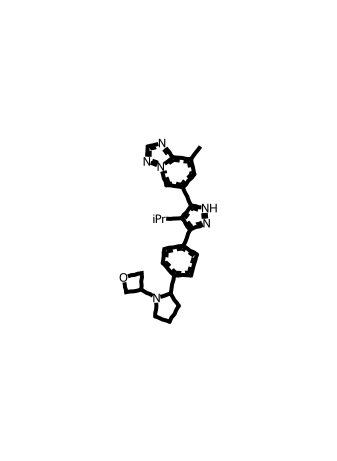 Cc1cc(-c2[nH]nc(-c3ccc(C4CCCN4C4COC4)cc3)c2C(C)C)cn2ncnc12